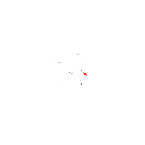 CC1=CCC[C@@]2(C)C3CCC12CC3(C)C